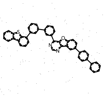 c1ccc(-c2ccc(-c3ccc4oc5c(-c6cccc(-c7cccc(-c8cccc9c8sc8ccccc89)c7)c6)ncnc5c4c3)cc2)cc1